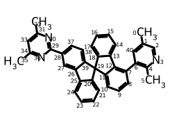 Cc1cnc(C)c(-c2cccc3c2-c2ccccc2C32c3ccccc3-c3cc(-c4nc(C)cc(C)n4)ccc32)c1